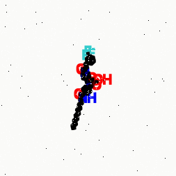 CCCCCCCCCCCCNC(=O)c1ccc(CN(CC2CCN(C(=O)C=Cc3cccc(C(F)(F)F)c3)CC2)C(=O)C(=O)O)cc1